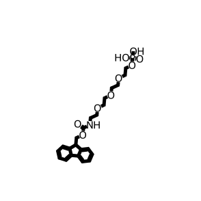 O=C(NCCOCCOCCOCCOP(=O)(O)O)OCC1c2ccccc2-c2ccccc21